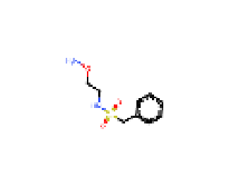 NOCCNS(=O)(=O)Cc1ccccc1